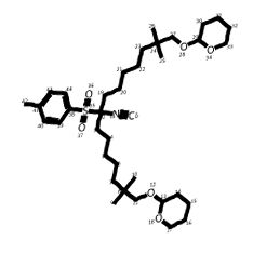 [C-]#[N+]C(CCCCCC(C)(C)COC1CCCCO1)(CCCCCC(C)(C)COC1CCCCO1)S(=O)(=O)c1ccc(C)cc1